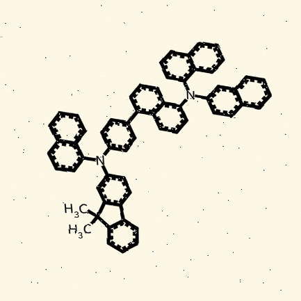 CC1(C)c2ccccc2-c2ccc(N(c3ccc(-c4cccc5c(N(c6ccc7ccccc7c6)c6cccc7ccccc67)cccc45)cc3)c3cccc4ccccc34)cc21